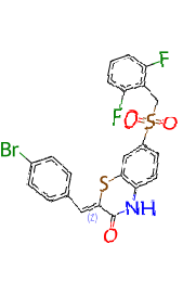 O=C1Nc2ccc(S(=O)(=O)Cc3c(F)cccc3F)cc2S/C1=C\c1ccc(Br)cc1